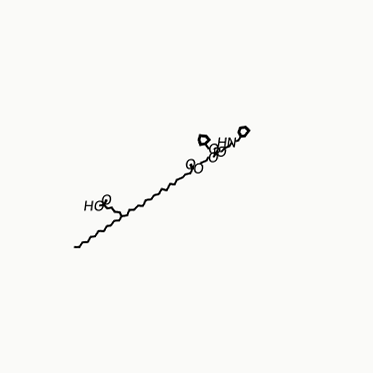 CCCCCCCCCCCCC(CCCCCCCCCCCCCCCCCC(=O)OCCCOP(OCCNCc1ccccc1)OCc1ccccc1)CCCCC(=O)O